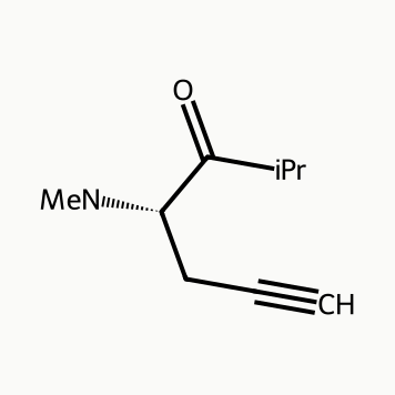 C#CC[C@H](NC)C(=O)C(C)C